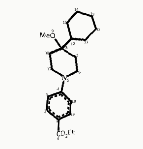 CCOC(=O)c1ccc(N2CCC(OC)(C3CCCCC3)CC2)cc1